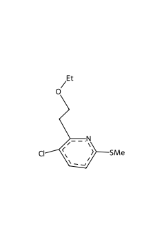 CCOCCc1nc(SC)ccc1Cl